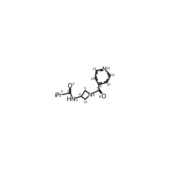 CC(C)C(=O)NC1CN(C(=O)c2ccncc2)C1